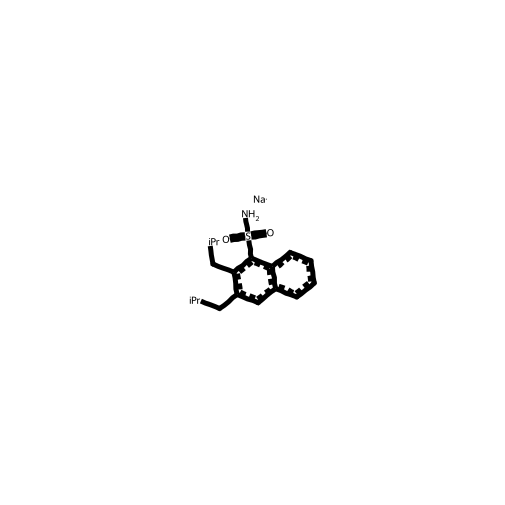 CC(C)Cc1cc2ccccc2c(S(N)(=O)=O)c1CC(C)C.[Na]